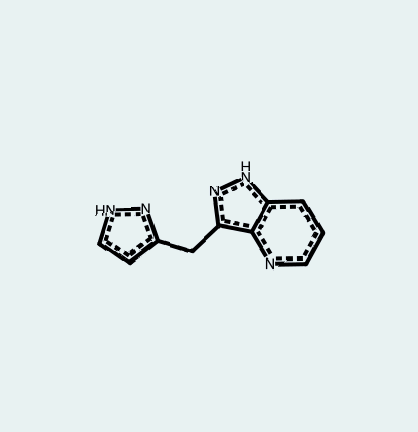 c1cnc2c(Cc3cc[nH]n3)n[nH]c2c1